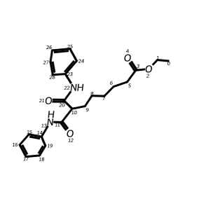 CCOC(=O)CCCCCC(C(=O)Nc1ccccc1)C(=O)Nc1ccccc1